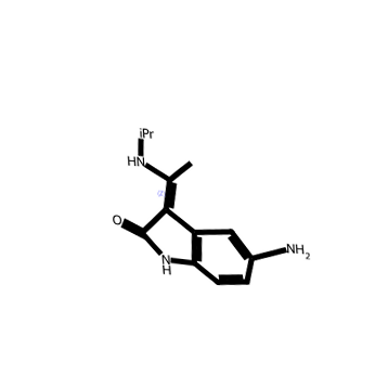 C/C(NC(C)C)=C1/C(=O)Nc2ccc(N)cc21